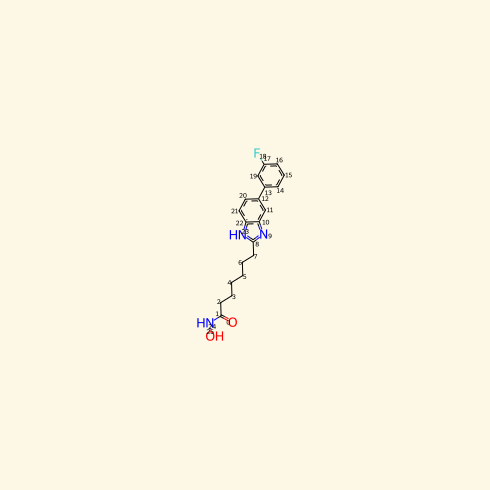 O=C(CCCCCCc1nc2cc(-c3cccc(F)c3)ccc2[nH]1)NO